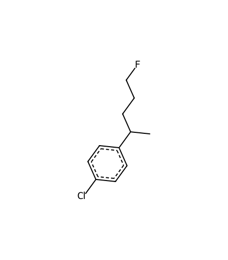 CC(CCCF)c1ccc(Cl)cc1